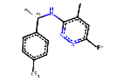 Cc1cc(C(C)C)nnc1N[C@@H](C)c1ccc(C(F)(F)F)cc1